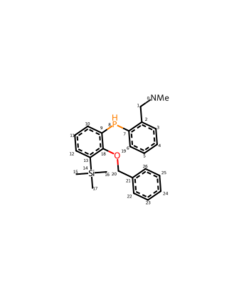 CNCc1ccccc1Pc1cccc([Si](C)(C)C)c1OCc1ccccc1